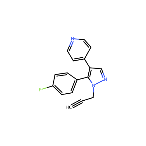 C#CCn1ncc(-c2ccncc2)c1-c1ccc(F)cc1